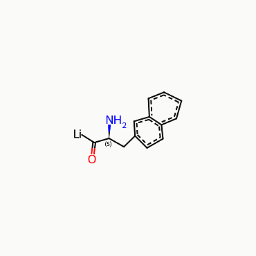 [Li][C](=O)[C@@H](N)Cc1ccc2ccccc2c1